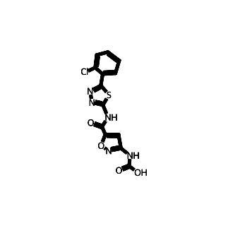 O=C(O)Nc1cc(C(=O)Nc2nnc(-c3ccccc3Cl)s2)on1